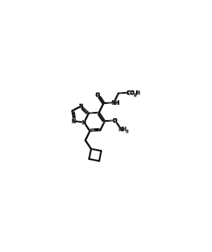 NOc1cc(CC2CCC2)n2ncnc2c1C(=O)NCC(=O)O